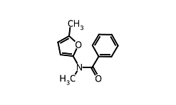 Cc1ccc(N(C)C(=O)c2ccccc2)o1